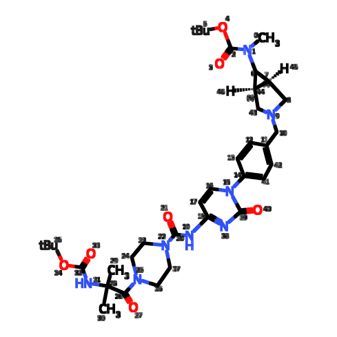 CN(C(=O)OC(C)(C)C)C1[C@H]2CN(Cc3ccc(-n4ccc(NC(=O)N5CCN(C(=O)C(C)(C)NC(=O)OC(C)(C)C)CC5)nc4=O)cc3)C[C@@H]12